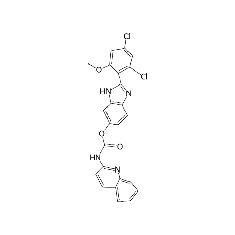 COc1cc(Cl)cc(Cl)c1-c1nc2ccc(OC(=O)Nc3ccc4ccccc4n3)cc2[nH]1